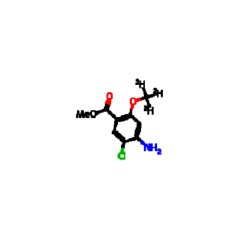 [2H]C([2H])([2H])Oc1cc(N)c(Cl)cc1C(=O)OC